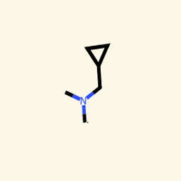 [CH2]N(C)CC1CC1